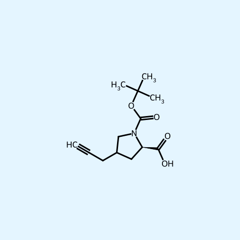 C#CCC1C[C@H](C(=O)O)N(C(=O)OC(C)(C)C)C1